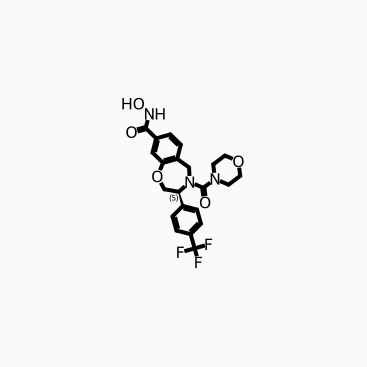 O=C(NO)c1ccc2c(c1)OC[C@H](c1ccc(C(F)(F)F)cc1)N(C(=O)N1CCOCC1)C2